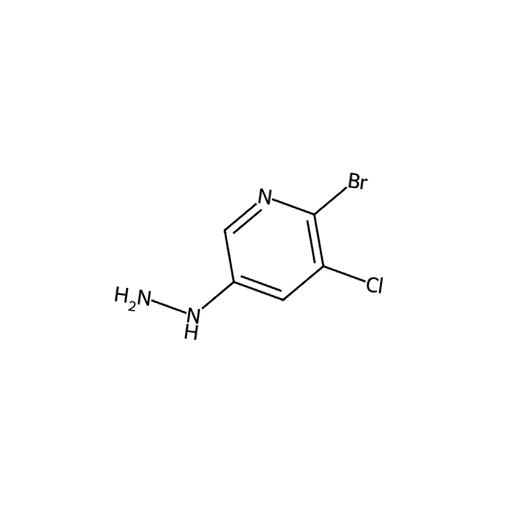 NNc1cnc(Br)c(Cl)c1